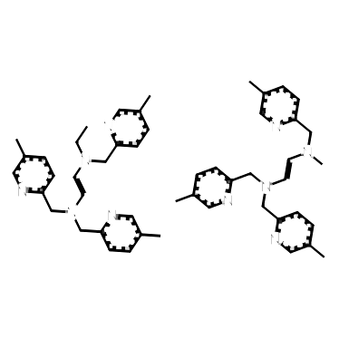 CCN(C=CN(Cc1ccc(C)cn1)Cc1ccc(C)cn1)Cc1ccc(C)cn1.Cc1ccc(CN(C)C=CN(Cc2ccc(C)cn2)Cc2ccc(C)cn2)nc1